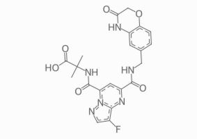 CC(C)(NC(=O)c1cc(C(=O)NCc2ccc3c(c2)NC(=O)CO3)nc2c(F)cnn12)C(=O)O